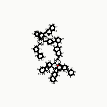 c1ccc(-c2ccc(-c3nc(-c4ccc5cc(-c6cccc7oc8c(-n9c%10ccccc%10c%10cc%11ccccc%11cc%109)c(-c9nc(-c%10ccccc%10)nc(-c%10cccc(-c%11ccccc%11)c%10)n9)ccc8c67)ccc5c4)nc(-c4ccc5c(oc6ccccc65)c4-n4c5ccccc5c5cc6ccccc6cc54)n3)cc2)cc1